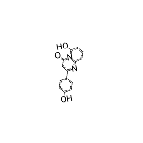 O=c1cc(-c2ccc(O)cc2)nc2cccc(O)n12